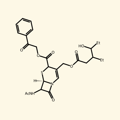 CCC(O)C(CC)CC(=O)OCC1=CN2C(=O)C(NC(C)=O)[C@H]2SC1C(=O)OCC(=O)c1ccccc1